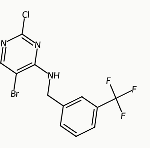 FC(F)(F)c1cccc(CNc2nc(Cl)ncc2Br)c1